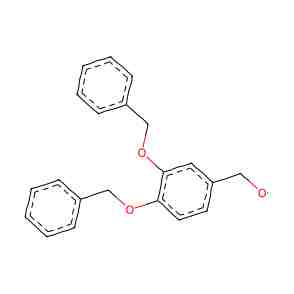 [O]Cc1ccc(OCc2ccccc2)c(OCc2ccccc2)c1